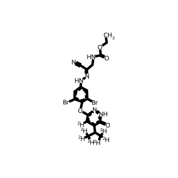 [2H]c1c(Oc2c(Br)cc(NN=C(C#N)CNC(=O)OCC)cc2Br)n[nH]c(=O)c1C(C([2H])([2H])[2H])C([2H])([2H])[2H]